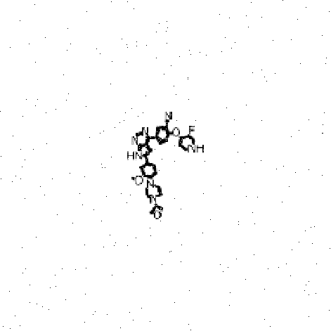 COc1cc(-c2cc3c(-c4ccc(OC5CCNCC5F)c(C#N)c4)ncnc3[nH]2)ccc1N1CCN(C2COC2)CC1